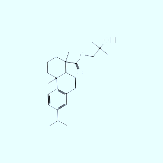 CC(C)c1ccc2c(c1)CCC1C(C)(C(=O)OCC(C)(C)O)CCCC21C